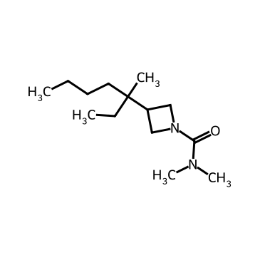 CCCCC(C)(CC)C1CN(C(=O)N(C)C)C1